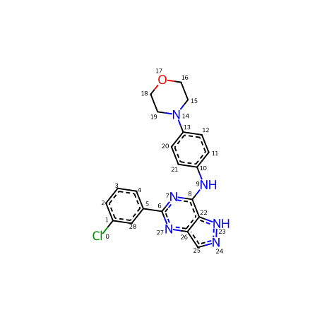 Clc1cccc(-c2nc(Nc3ccc(N4CCOCC4)cc3)c3[nH]ncc3n2)c1